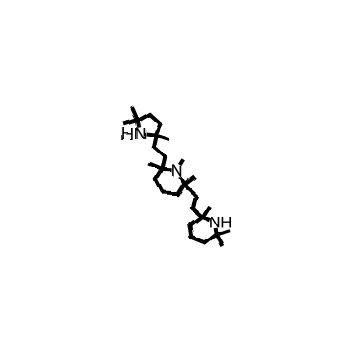 CN1C(C)(CCC2(C)CCCC(C)(C)N2)CCCC1(C)CCC1(C)CCC(C)(C)N1